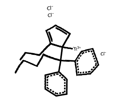 CCCCC(c1ccccc1)(c1ccccc1)[C]1([Ti+3])C=CC=C1CCC.[Cl-].[Cl-].[Cl-]